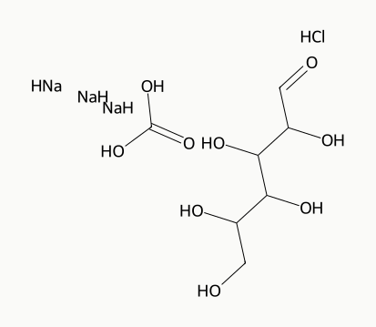 Cl.O=C(O)O.O=CC(O)C(O)C(O)C(O)CO.[NaH].[NaH].[NaH]